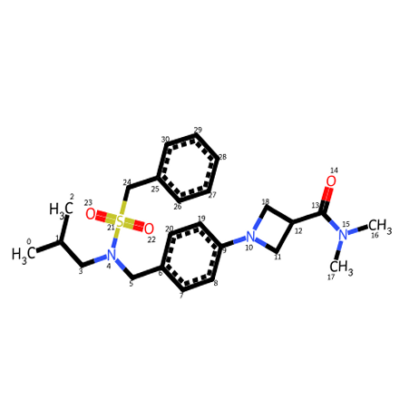 CC(C)CN(Cc1ccc(N2CC(C(=O)N(C)C)C2)cc1)S(=O)(=O)Cc1ccccc1